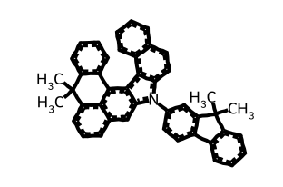 CC1(C)c2ccccc2-c2ccc(-n3c4cc5cccc6c5c(c4c4c5ccccc5ccc43)-c3ccccc3C6(C)C)cc21